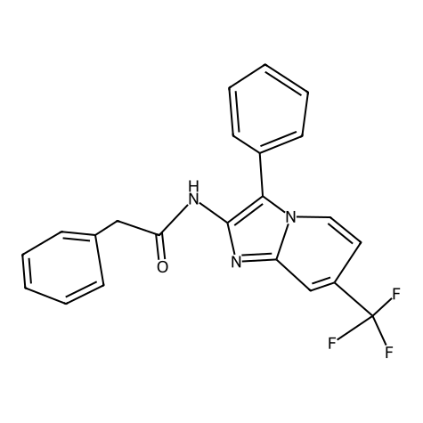 O=C(Cc1ccccc1)Nc1nc2cc(C(F)(F)F)ccn2c1-c1ccccc1